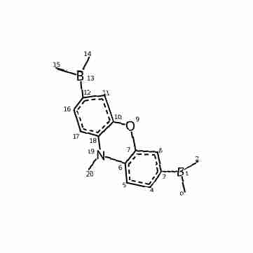 CB(C)c1ccc2c(c1)Oc1cc(B(C)C)ccc1N2C